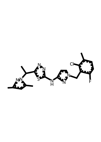 Cc1cc(C)n(C(C)c2nnc(Nc3ccn(Cc4c(F)ccc(C)c4Cl)n3)s2)n1